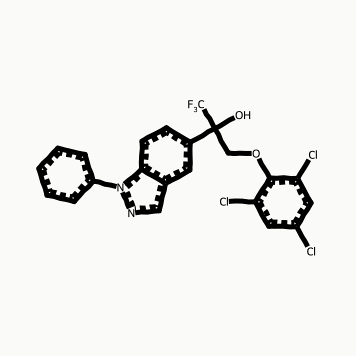 OC(COc1c(Cl)cc(Cl)cc1Cl)(c1ccc2c(cnn2-c2ccccc2)c1)C(F)(F)F